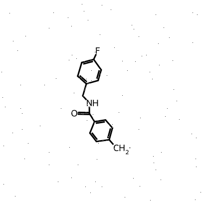 [CH2]c1ccc(C(=O)NCc2ccc(F)cc2)cc1